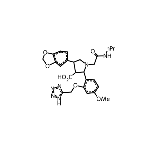 CCCNC(=O)CN1CC(c2ccc3c(c2)OCO3)C(C(=O)O)C1c1ccc(OC)cc1OCc1nnn[nH]1